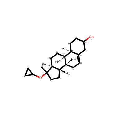 CC1(OC2CC2)CC[C@H]2[C@@H]3CC=C4CC(O)CC[C@]4(C)[C@@H]3CC[C@@]21C